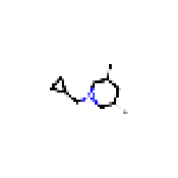 C[C@H]1C[C@H](C)CN(CC2CC2)C1